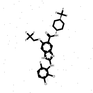 O=C(N[C@H]1CC[C@H](C(F)(F)F)CC1)c1cc2nc(Nc3c(F)ccc(Cl)c3Cl)[nH]c2cc1OCC(F)(F)F